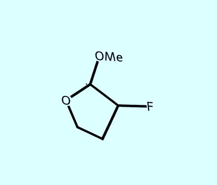 CO[C]1OCCC1F